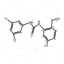 O=C(Nc1cc(F)cc(Cl)c1)Nc1cc(Cl)ccc1CO